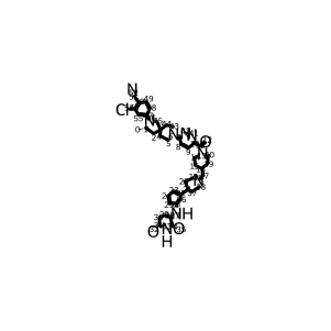 C[C@H]1CC2(CCN(c3ccc(C(=O)N4CCC(CN5CCC(c6cccc(N[C@@H]7CCC(=O)NC7=O)c6)CC5)CC4)nn3)CC2)CN1c1ccc(C#N)c(Cl)c1